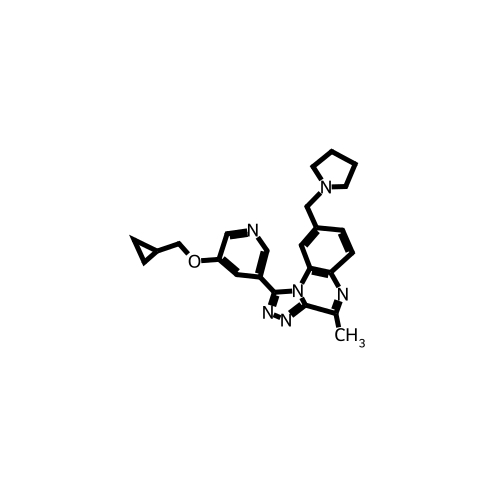 Cc1nc2ccc(CN3CCCC3)cc2n2c(-c3cncc(OCC4CC4)c3)nnc12